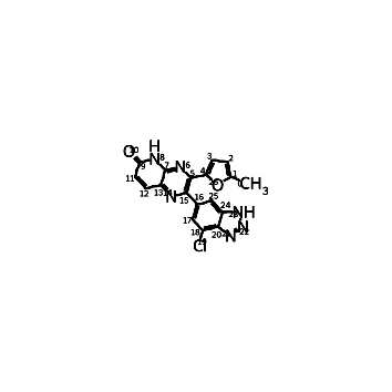 Cc1ccc(-c2nc3[nH]c(=O)ccc3nc2-c2cc(Cl)c3nn[nH]c3c2)o1